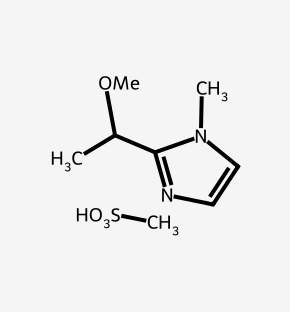 COC(C)c1nccn1C.CS(=O)(=O)O